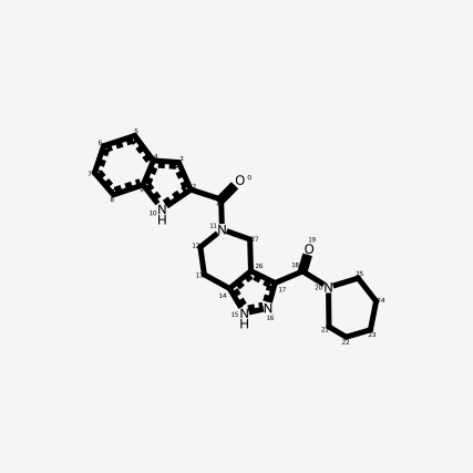 O=C(c1cc2ccccc2[nH]1)N1CCc2[nH]nc(C(=O)N3CCCCC3)c2C1